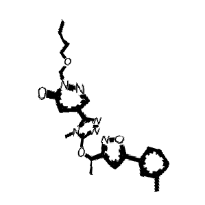 CCCCOCn1ncc(-c2nnc(O[C@H](C)c3cc(-c4cccc(C)c4)on3)n2C)cc1=O